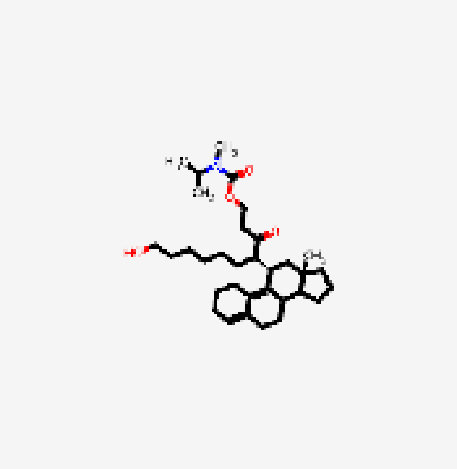 CC(C)N(C)C(=O)OCCC(=O)C(CCCCCCO)[C@H]1C[C@]2(C)CCCC2C2CCC3=CCCCC3=C21